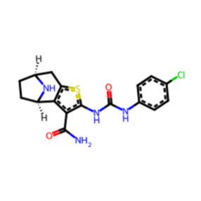 NC(=O)c1c(NC(=O)Nc2ccc(Cl)cc2)sc2c1[C@H]1CC[C@@H](C2)N1